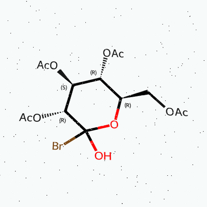 CC(=O)OC[C@H]1OC(O)(Br)[C@H](OC(C)=O)[C@@H](OC(C)=O)[C@@H]1OC(C)=O